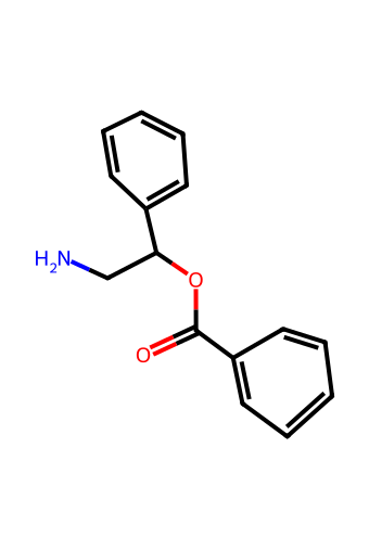 NCC(OC(=O)c1ccccc1)c1ccccc1